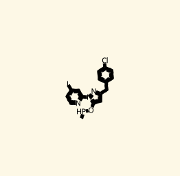 CPOc1cc(Cc2ccc(Cl)cc2)nn1-c1cc(I)ccn1